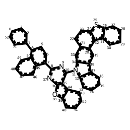 c1ccc(-c2ccc(-c3nc(-n4c5ccccc5c5cc6c(ccc7sc8ccccc8c76)cc54)c4c(n3)oc3ccccc34)c3ccccc23)cc1